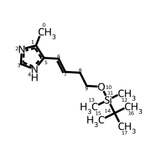 Cc1nc[nH]c1/C=C/CCO[Si](C)(C)C(C)(C)C